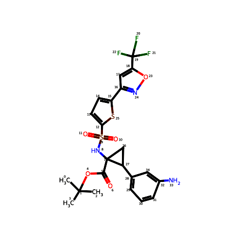 CC(C)(C)OC(=O)C1(NS(=O)(=O)c2ccc(-c3cc(C(F)(F)F)on3)s2)CC1c1cccc(N)c1